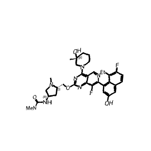 CCc1c(F)ccc2cc(O)cc(-c3ncc4c(N5CCC[C@@](C)(O)C5)nc(OC[C@@H]5C[C@@H](NC(=O)NC)CN5C)nc4c3F)c12